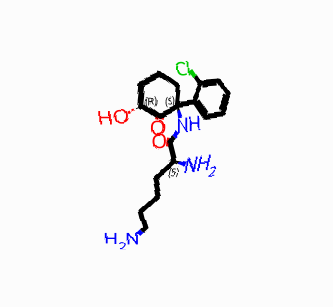 NCCCC[C@H](N)C(=O)N[C@]1(c2ccccc2Cl)CCC[C@@H](O)C1=O